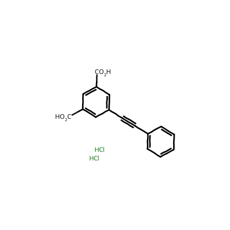 Cl.Cl.O=C(O)c1cc(C#Cc2ccccc2)cc(C(=O)O)c1